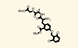 COC(=O)CNC(=O)[C@@H](C)NC(=O)C(N)Cc1ccc(OCc2c(Cl)cccc2Cl)cc1C(=O)OC(C)(C)C